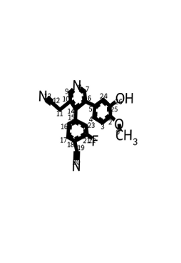 COc1ccc(-c2cncc(CC#N)c2-c2ccc(C#N)c(F)c2)cc1O